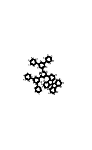 c1ccc(-c2cc(-c3ccccc3)cc(-c3cc(-c4cccc5c4-c4ccccc4C54c5ccccc5-c5ccccc54)cc(-c4cc(-c5ccccc5)cc(-c5ccccc5)c4)n3)c2)cc1